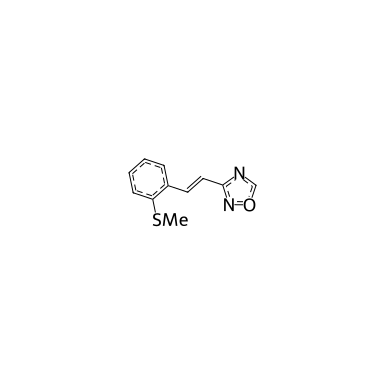 CSc1ccccc1C=Cc1ncon1